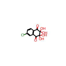 O=C1c2ccc(Cl)cc2C(=O)C(O)(O)C1(O)O